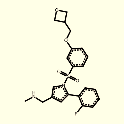 CNCc1cc(-c2ccccc2F)n(S(=O)(=O)c2cccc(OCC3COC3)c2)c1